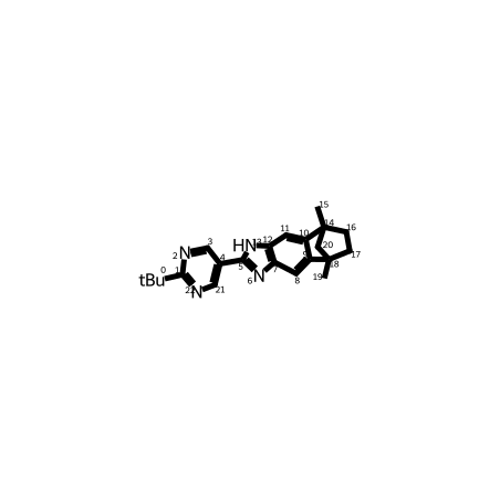 CC(C)(C)c1ncc(-c2nc3cc4c(cc3[nH]2)C2(C)CCC4(C)C2)cn1